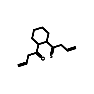 C=CCC(=O)C1CCCCC1C(=S)CC=C